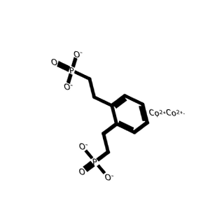 O=P([O-])([O-])CCc1ccccc1CCP(=O)([O-])[O-].[Co+2].[Co+2]